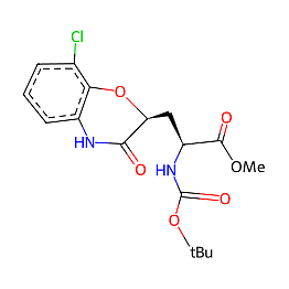 COC(=O)[C@H](C[C@@H]1Oc2c(Cl)cccc2NC1=O)NC(=O)OC(C)(C)C